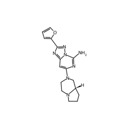 Nc1nc(N2CCN3CCC[C@H]3C2)cc2nc(-c3ccco3)nn12